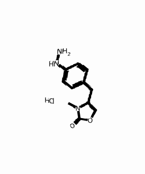 CN1C(=O)OCC1Cc1ccc(NN)cc1.Cl